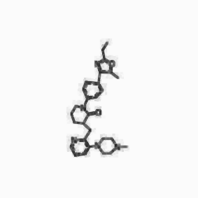 CCc1nc(-c2ccc(N3CCCC(Cc4ncccc4N4CCN(C)CC4)C3=O)cc2)c(C)o1